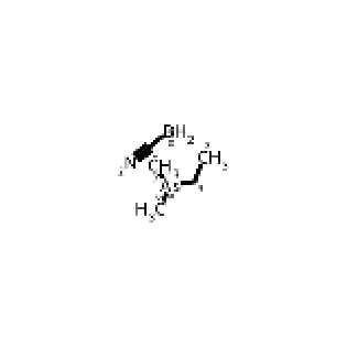 BC#N.CC[As](C)C